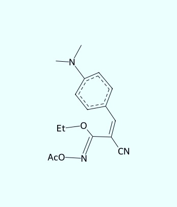 CCOC(=NOC(C)=O)C(C#N)=Cc1ccc(N(C)C)cc1